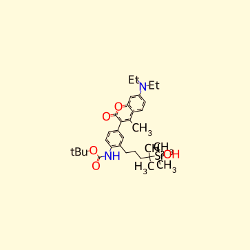 CCN(CC)c1ccc2c(C)c(-c3ccc(NC(=O)OC(C)(C)C)c(CCCC(C)(C)[Si](C)(C)O)c3)c(=O)oc2c1